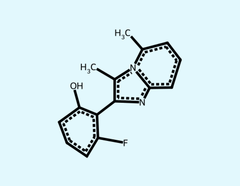 Cc1cccc2nc(-c3c(O)cccc3F)c(C)n12